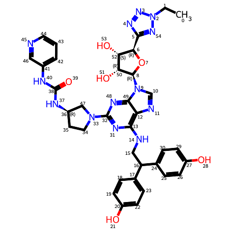 CCn1nnc([C@H]2O[C@@H](n3cnc4c(NCC(c5ccc(O)cc5)c5ccc(O)cc5)nc(N5CC[C@@H](NC(=O)Nc6cccnc6)C5)nc43)[C@H](O)[C@@H]2O)n1